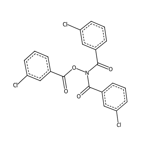 O=C(ON(C(=O)c1cccc(Cl)c1)C(=O)c1cccc(Cl)c1)c1cccc(Cl)c1